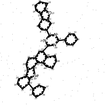 c1ccc(-c2nc(-c3ccc4c(c3)oc3ccccc34)nc(-c3cc4ccc5c6cccc(-c7ccccc7)c6[se]c5c4c4ccccc34)n2)cc1